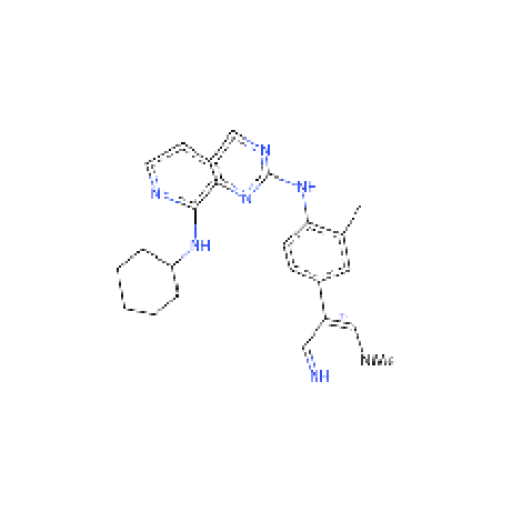 CN/C=C(\C=N)c1ccc(Nc2ncc3ccnc(NC4CCCCC4)c3n2)c(C)c1